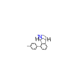 Cc1ccc(-c2cccc3c2[C@H]2C[C@H]3CCN2C)cc1